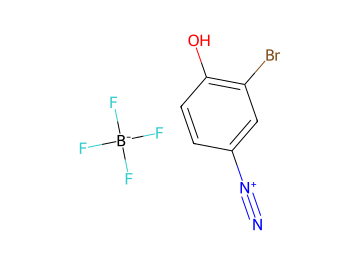 F[B-](F)(F)F.N#[N+]c1ccc(O)c(Br)c1